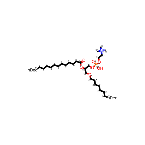 CCCCCCCCCCCCCCCCCCCCCC(=O)OC(COCCCCCCCCCCCCCCCCC)COP(=O)(O)OCC[N+](C)(C)C